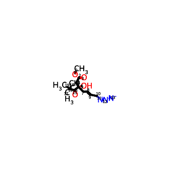 COC(=O)C[C@](O)(C/C=C/CN=[N+]=[N-])C(=O)C(C)(C)C